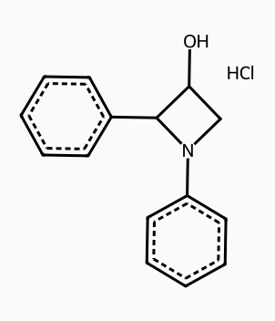 Cl.OC1CN(c2ccccc2)C1c1ccccc1